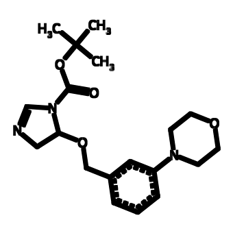 CC(C)(C)OC(=O)N1C=NCC1OCc1cccc(N2CCOCC2)c1